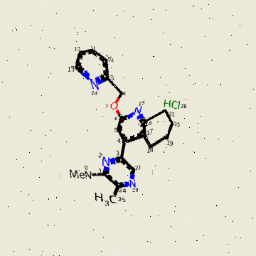 CNc1nc(-c2cc(OCc3ccccn3)nc3c2CCCC3)cnc1C.Cl